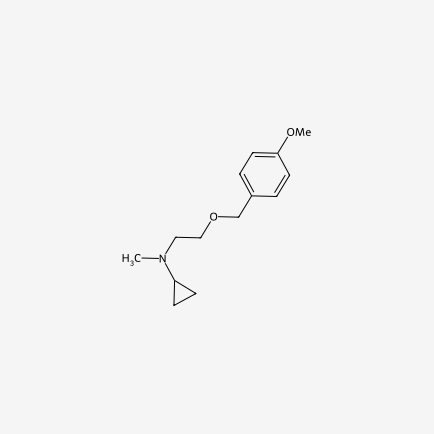 COc1ccc(COCCN(C)C2CC2)cc1